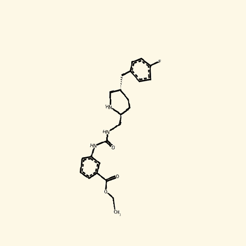 CCOC(=O)c1cccc(NC(=O)NC[C@@H]2CC[C@@H](Cc3ccc(F)cc3)CN2)c1